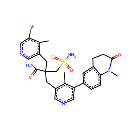 Cc1c(Br)cncc1CC(Cc1cncc(-c2ccc3c(c2)CCC(=O)N3C)c1C)(CS(N)(=O)=O)C(N)=O